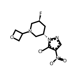 O=[N+]([O-])c1cnn([C@H]2C[C@H](F)CN(C3COC3)C2)c1Cl